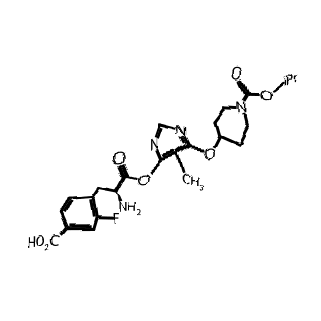 Cc1c(OC(=O)[C@@H](N)Cc2ccc(C(=O)O)cc2F)ncnc1OC1CCN(C(=O)OC(C)C)CC1